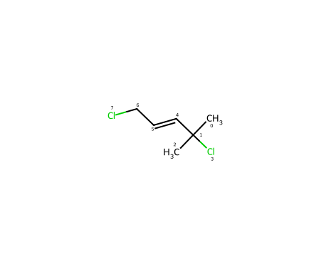 CC(C)(Cl)C=CCCl